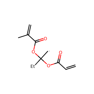 [CH2]C(CC)(OC(=O)C=C)OC(=O)C(=C)C